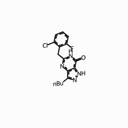 CCCCc1n[nH]c2c(=O)[nH]c(Cc3c(F)cccc3Cl)nc12